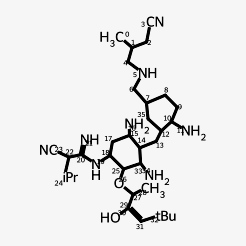 CC(CC#N)CNCC1CCC(N)C(CC2C(N)CC(NC(=N)C(C#N)C(C)C)C(OC(C)/C(O)=C\C(C)(C)C)C2N)C1